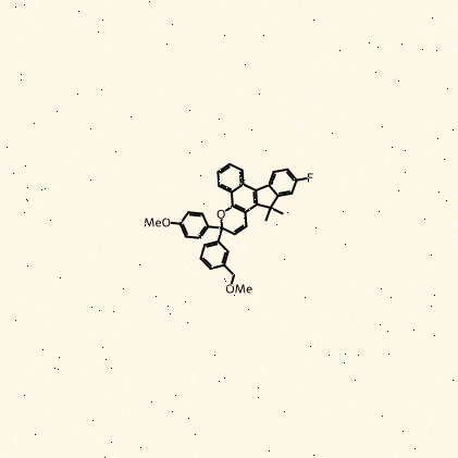 COCc1cccc(C2(c3ccc(OC)cc3)C=Cc3c4c(c5ccccc5c3O2)-c2ccc(F)cc2C4(C)C)c1